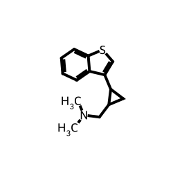 CN(C)CC1CC1c1csc2ccccc12